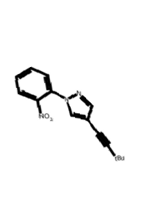 CC(C)(C)C#Cc1cnn(-c2ccccc2[N+](=O)[O-])c1